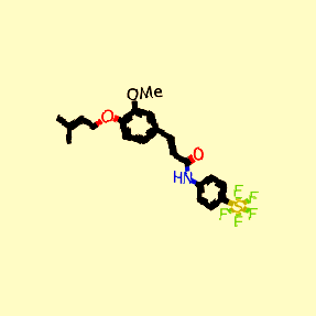 COc1cc(C=CC(=O)Nc2ccc(S(F)(F)(F)(F)F)cc2)ccc1OCC=C(C)C